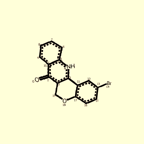 O=c1c2c([nH]c3ccccc13)-c1cc(Br)ccc1OC2